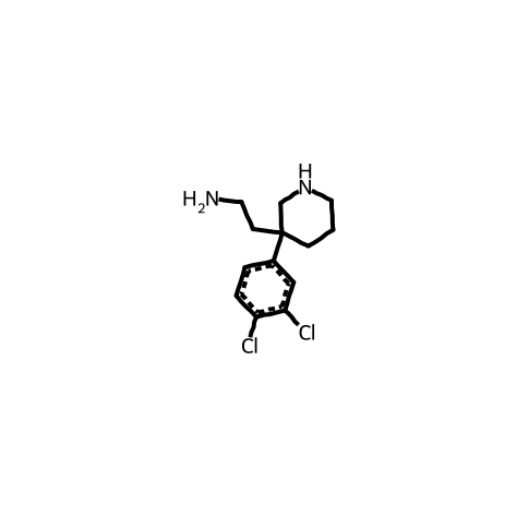 NCCC1(c2ccc(Cl)c(Cl)c2)CCCNC1